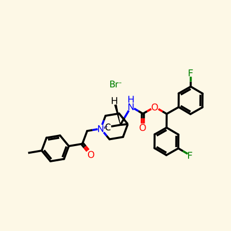 Cc1ccc(C(=O)C[N+]23CCC(CC2)[C@@H](NC(=O)OC(c2cccc(F)c2)c2cccc(F)c2)C3)cc1.[Br-]